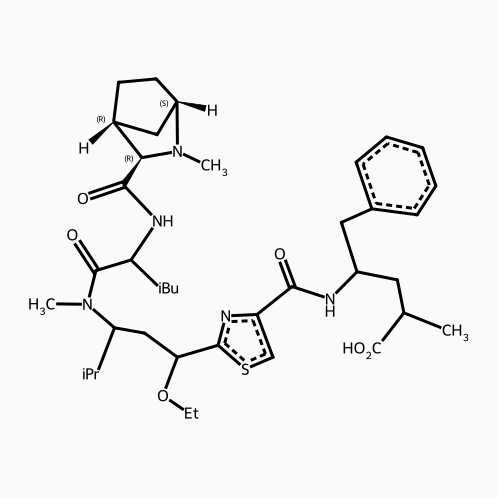 CCOC(CC(C(C)C)N(C)C(=O)C(NC(=O)[C@H]1[C@@H]2CC[C@@H](C2)N1C)C(C)CC)c1nc(C(=O)NC(Cc2ccccc2)CC(C)C(=O)O)cs1